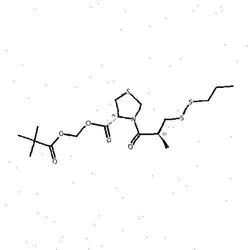 CCCSSC[C@@H](C)C(=O)N1CSC[C@H]1C(=O)OCOC(=O)C(C)(C)C